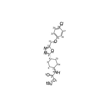 CC(C)(C)OC(=O)N[C@H]1CC[C@H](c2nnc(COc3ccc(Cl)cc3)o2)CC1